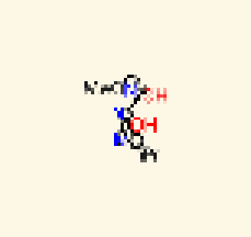 COc1cccc(C(C)(O)C#Cc2cncc(C(O)(c3ccc(C(C)C)cc3)C3(C)CN(C)C3)c2)n1